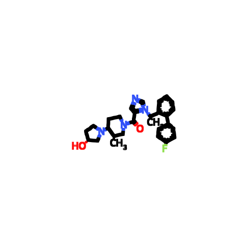 C[C@H]1CN(C(=O)c2cncn2[C@@H](C)c2ccccc2-c2ccc(F)cc2)CCC1N1CC[C@@H](O)C1